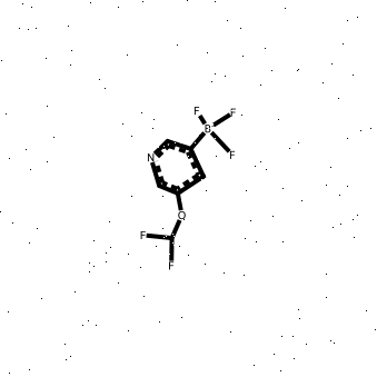 FC(F)Oc1cncc([B-](F)(F)F)c1